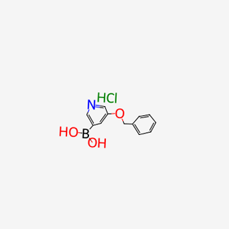 Cl.OB(O)c1cncc(OCc2ccccc2)c1